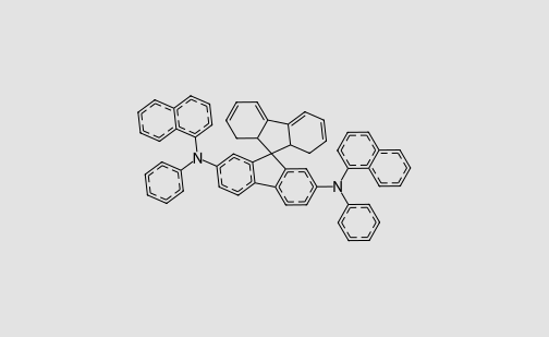 C1=CCC2C(=C1)C1=CC=CCC1C21c2cc(N(c3ccccc3)c3cccc4ccccc34)ccc2-c2ccc(N(c3ccccc3)c3cccc4ccccc34)cc21